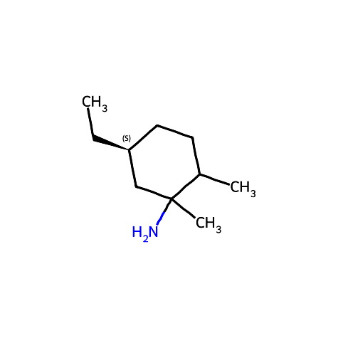 CC[C@H]1CCC(C)C(C)(N)C1